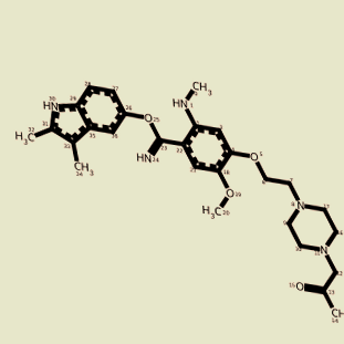 CNc1cc(OCCN2CCN(CC(C)=O)CC2)c(OC)cc1C(=N)Oc1ccc2[nH]c(C)c(C)c2c1